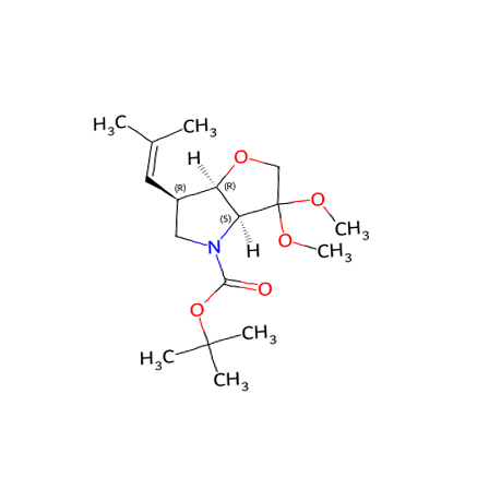 COC1(OC)CO[C@@H]2[C@H](C=C(C)C)CN(C(=O)OC(C)(C)C)[C@@H]21